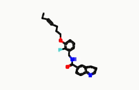 CCC#CCCCOc1cccc(CNC(=O)c2ccc3ncccc3c2)c1F